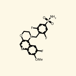 COc1cc2ncc3c(c2cc1F)N(Cc1c(F)cc(S(N)(=O)=O)cc1F)CCO3